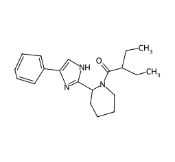 CCC(CC)C(=O)N1CCCCC1c1nc(-c2ccccc2)c[nH]1